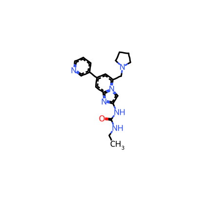 CCNC(=O)Nc1cn2c(CN3CCCC3)cc(-c3cccnc3)cc2n1